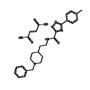 Cc1ccc(-c2nc(C(=O)NCCC3CCN(Cc4ccccc4)CC3)no2)cc1.O=C(O)/C=C/C(=O)O